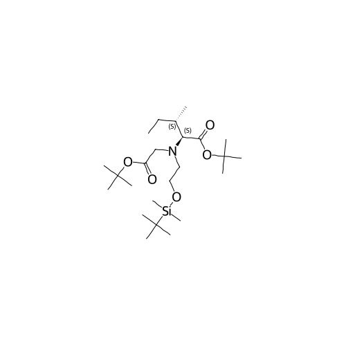 CC[C@H](C)[C@@H](C(=O)OC(C)(C)C)N(CCO[Si](C)(C)C(C)(C)C)CC(=O)OC(C)(C)C